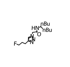 CCCCC(CCCC)NC(=O)Cn1cc(CCCF)nn1